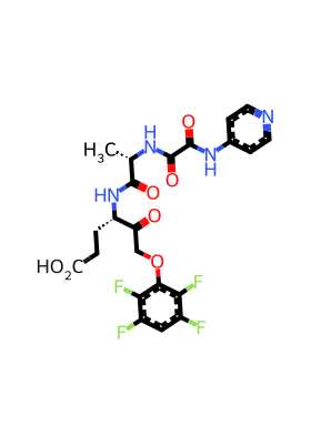 C[C@H](NC(=O)C(=O)Nc1ccncc1)C(=O)N[C@@H](CCC(=O)O)C(=O)COc1c(F)c(F)cc(F)c1F